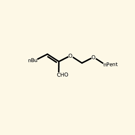 CCCC/C=C(\C=O)OCOCCCCC